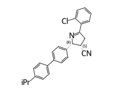 CC(C)c1ccc(-c2ccc([C@@H]3N=C(c4ccccc4Cl)C[C@@H]3C#N)cc2)cc1